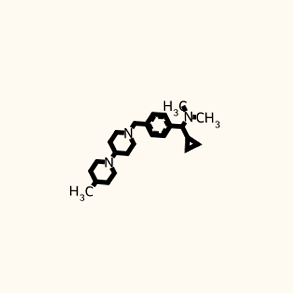 CC1CCN(C2CCN(Cc3ccc(C(C4CC4)N(C)C)cc3)CC2)CC1